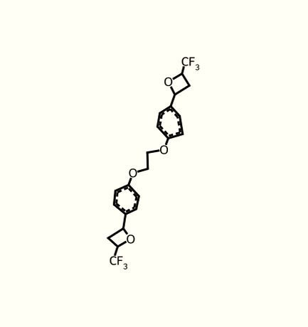 FC(F)(F)C1CC(c2ccc(OCCOc3ccc(C4CC(C(F)(F)F)O4)cc3)cc2)O1